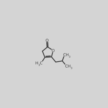 CC1=C(CC(C)C)OC(=O)C1